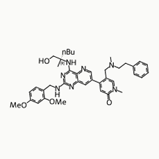 CCCC[C@](C)(CO)Nc1nc(NCc2ccc(OC)cc2OC)nc2cc(-c3cc(=O)n(C)cc3CN(C)CCc3ccccc3)cnc12